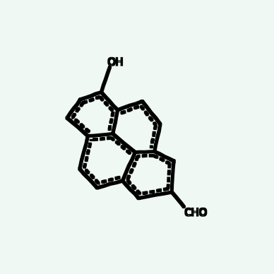 O=Cc1cc2ccc3ccc(O)c4ccc(c1)c2c34